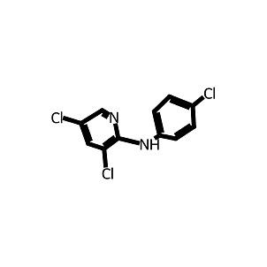 Clc1ccc(Nc2ncc(Cl)cc2Cl)cc1